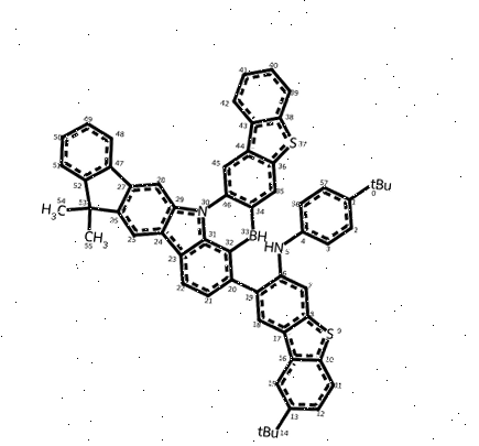 CC(C)(C)c1ccc(Nc2cc3sc4ccc(C(C)(C)C)cc4c3cc2-c2ccc3c4cc5c(cc4n4c3c2Bc2cc3sc6ccccc6c3cc2-4)-c2ccccc2C5(C)C)cc1